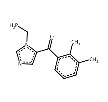 Cc1cccc(C(=O)c2cncn2CP)c1C